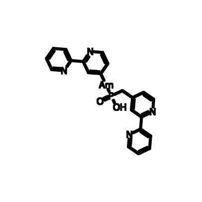 O=[P](O)(Cc1ccnc(-c2ccccn2)c1)[Am][c]1ccnc(-c2ccccn2)c1